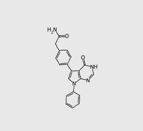 NC(=O)Cc1ccc(-c2cn(-c3ccccc3)c3nc[nH]c(=O)c23)cc1